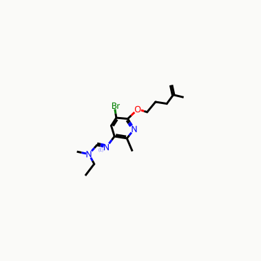 C=C(C)CCCOc1nc(C)c(/N=C/N(C)CC)cc1Br